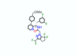 COCc1ccc(-c2cccnc2[C@H](Cc2cc(F)cc(F)c2)NC(=O)Cn2nc(C(F)F)c3c2C(F)(F)CC3)cc1